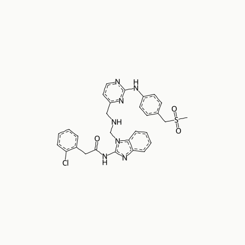 CS(=O)(=O)Cc1ccc(Nc2nccc(CNCn3c(NC(=O)Cc4ccccc4Cl)nc4ccccc43)n2)cc1